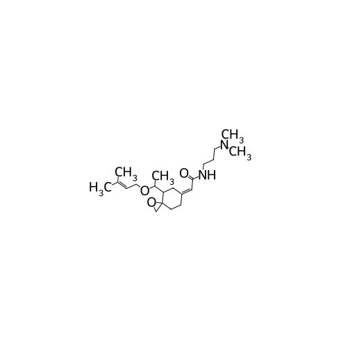 CC(C)=CCOC(C)C1C/C(=C\C(=O)NCCCN(C)C)CCC12CO2